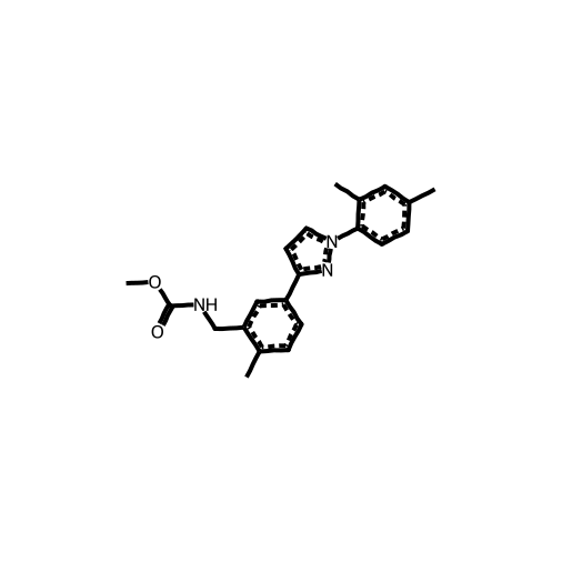 COC(=O)NCc1cc(-c2ccn(-c3ccc(C)cc3C)n2)ccc1C